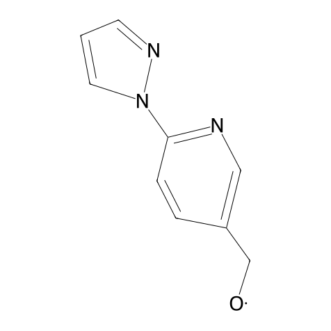 [O]Cc1ccc(-n2cccn2)nc1